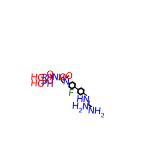 N/C=C(\N)CNCc1ccc(-c2ccc(N3C[C@H](CNC(=O)OC(PO)PO)OC3=O)cc2F)cc1